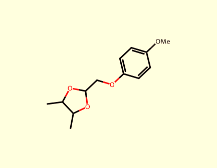 COc1ccc(OCC2OC(C)C(C)O2)cc1